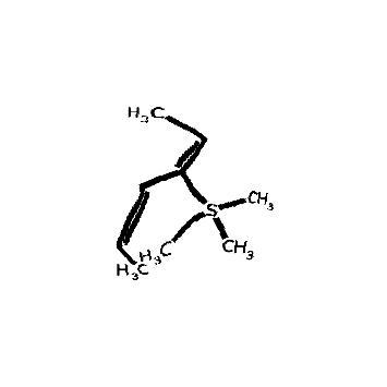 C/C=C\C(=C/C)S(C)(C)C